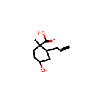 C=CCC1CC(O)CCC1(C)C(=O)O